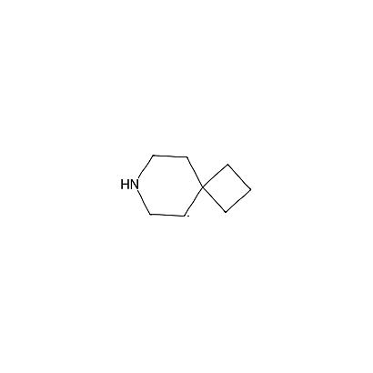 [CH]1CNCCC12CCC2